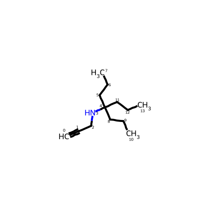 C#CCNC(CCC)(CCC)CCC